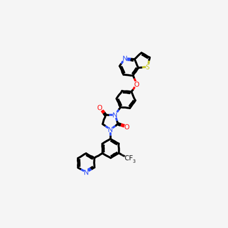 O=C1CN(c2cc(-c3cccnc3)cc(C(F)(F)F)c2)C(=O)N1c1ccc(Oc2ccnc3ccsc23)cc1